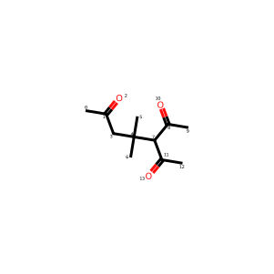 CC(=O)CC(C)(C)C(C(C)=O)C(C)=O